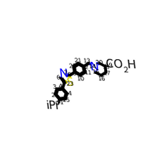 CC(C)c1ccc(-c2cnc(-c3ccc(CN4CCCC(C(=O)O)C4)cc3)s2)cc1